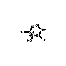 CC[SiH](O)[SiH](O)[SiH](O)[SiH](C)O